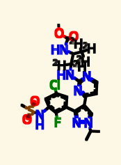 [2H]C([2H])([2H])C(NC(=O)OC)C([2H])([2H])Nc1nccc(-c2cn(C(C)C)nc2-c2cc(Cl)cc(NS(C)(=O)=O)c2F)n1